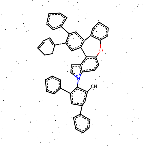 N#Cc1cc(-c2ccccc2)cc(-c2ccccc2)c1-n1ccc2c3c(ccc21)Oc1ccccc1-c1cc(-c2ccccc2)c(C2=CC=CCC2)cc1-3